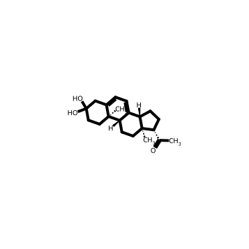 CC(=O)[C@H]1CC[C@H]2C3=CC=C4CC(O)(O)CC[C@]4(C)[C@H]3CC[C@]12C